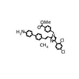 C.COC(=O)c1ccc(Cn2cc(-c3ccc(Cl)cc3Cl)nc2C=Cc2ccc(-c3ccc(N)cc3)cc2)cc1